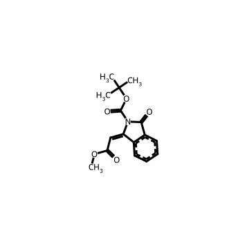 COC(=O)/C=C1\c2ccccc2C(=O)N1C(=O)OC(C)(C)C